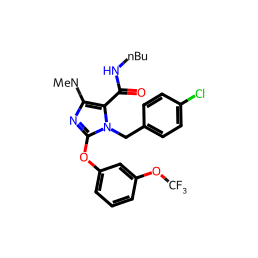 CCCCNC(=O)c1c(NC)nc(Oc2cccc(OC(F)(F)F)c2)n1Cc1ccc(Cl)cc1